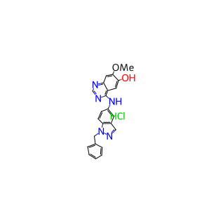 COc1cc2ncnc(Nc3ccc4c(cnn4Cc4ccccc4)c3)c2cc1O.Cl